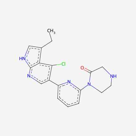 CCc1c[nH]c2ncc(-c3cccc(N4CCNCC4=O)n3)c(Cl)c12